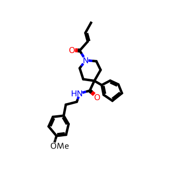 C/C=C/C(=O)N1CCC(C(=O)NCCc2ccc(OC)cc2)(c2ccccc2)CC1